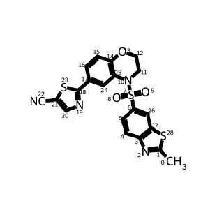 Cc1nc2ccc(S(=O)(=O)N3CCOc4ccc(-c5ncc(C#N)s5)cc43)cc2s1